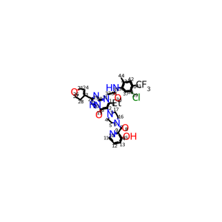 CCc1c(N2CCN(C(=O)c3ncccc3O)CC2)c(=O)n2nc(C3=CCOCC3)nc2n1CC(=O)Nc1cc(Cl)c(C(F)(F)F)cc1C